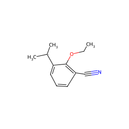 CCOc1c(C#N)cccc1[C](C)C